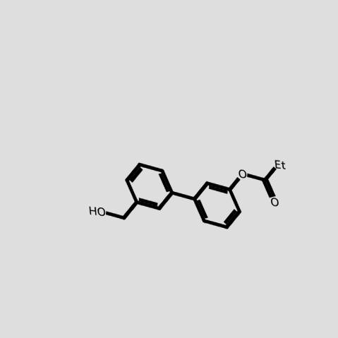 CCC(=O)Oc1cccc(-c2cccc(CO)c2)c1